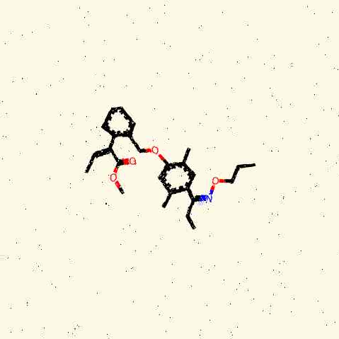 CC=C(C(=O)OC)c1ccccc1COc1cc(C)c(/C(CC)=N\OCCC)cc1C